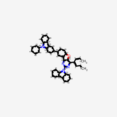 C=C/C=C(\C=C/C)c1nc(-n2c3ccccc3c3ccccc32)nc2c1oc1ccc(-c3ccc4c(c3)c3ccccc3n4-c3ccccc3)cc12